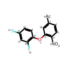 CC(=O)c1ccc([N+](=O)[O-])c(Oc2ccc(F)cc2F)c1